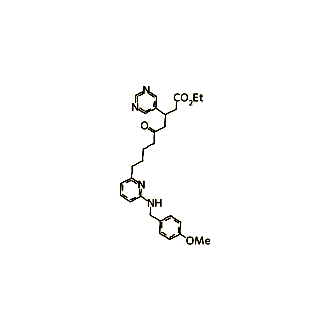 CCOC(=O)CC(CC(=O)CCCCc1cccc(NCc2ccc(OC)cc2)n1)c1cncnc1